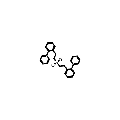 O=S(=O)(CCc1ccccc1-c1ccccc1)CCc1ccccc1-c1ccccc1